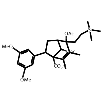 COc1cc(OC)cc(C2CC3C(OC(C)=O)C2(C(=O)O)C(C)=C(C)C3(CC[Si](C)(C)C)OC(C)=O)c1